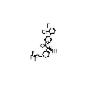 O=C(c1n[nH]c2c1CN(CCC(F)(F)F)CC2)N1CCC(c2cccc(F)c2Cl)CC1